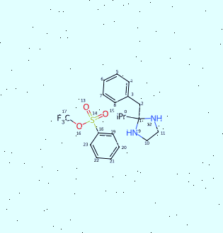 CC(C)C1(Cc2ccccc2)NCCN1.O=S(=O)(OC(F)(F)F)c1ccccc1